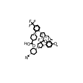 COC[C@@H]1C[C@@H](c2ccc(C(F)(F)F)cc2N2CCC(C(=O)O)CC2)CN1C(=O)[C@]1(F)CN([C@H]2CC[C@@H](C#N)CC2)C[C@H]1c1ccc(OC)cc1